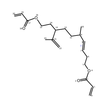 C=CC(=O)OCC/C=C/C(C)CCC(CCOC(=O)C=C)C(=C)C